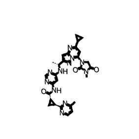 Cc1ccnc([C@H]2C[C@@H]2C(=O)Nc2cc(N[C@H](C)c3cc4nc(C5CC5)cc(N5CC(=O)N(C)C5=O)n4n3)ncn2)n1